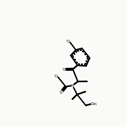 CC(C(=O)c1cccc(Cl)c1)N(C(=O)Cl)C(C)(C)CO